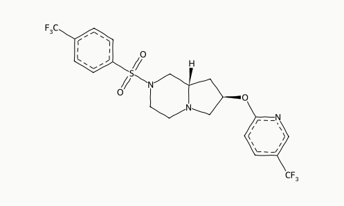 O=S(=O)(c1ccc(C(F)(F)F)cc1)N1CCN2C[C@H](Oc3ccc(C(F)(F)F)cn3)C[C@H]2C1